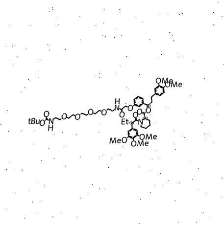 CC[C@H](C(=O)N1CCCC[C@@H]1C(=O)O[C@H](CCc1ccc(OC)c(OC)c1)c1cccc(OCC(=O)NCCOCCOCCOCCOCCNC(=O)OC(C)(C)C)c1)c1cc(OC)c(OC)c(OC)c1